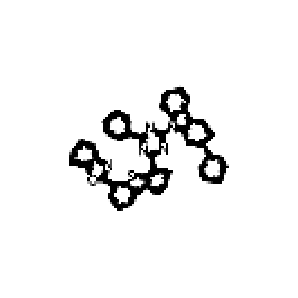 c1ccc(-c2ccc3c4ccccc4n(-c4nc(-c5ccccc5)nc(-c5cccc6c5sc5c(-c7nc8ccccc8o7)cccc56)n4)c3c2)cc1